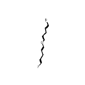 FC=CCC=COC=CCC=CF